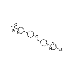 CCc1cnc(N2CCC(CO[C@H]3CC[C@H](c4ccc(S(C)(=O)=O)nc4)CC3)CC2)nc1